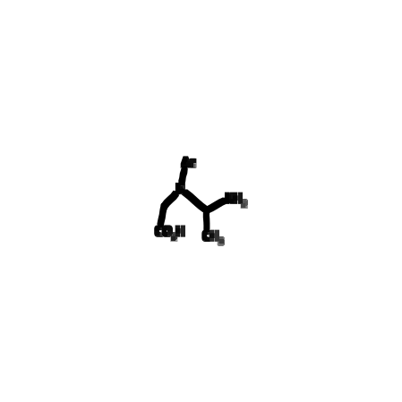 CC(=O)N(CC(=O)O)C(C)N